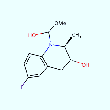 COC(O)N1c2ccc(I)cc2C[C@@H](O)[C@@H]1C